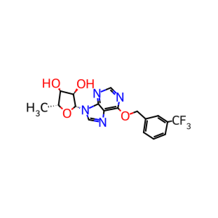 C[C@H]1O[C@@H](n2cnc3c(OCc4cccc(C(F)(F)F)c4)ncnc32)[C@H](O)[C@@H]1O